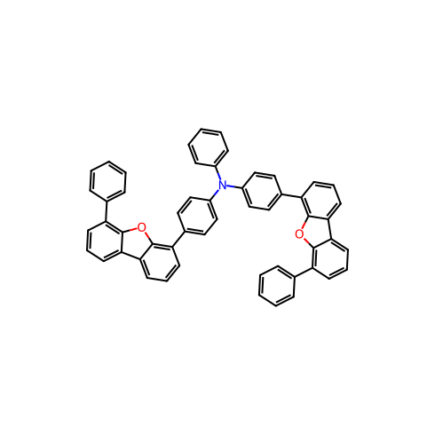 c1ccc(-c2cccc3c2oc2c(-c4ccc(N(c5ccccc5)c5ccc(-c6cccc7c6oc6c(-c8ccccc8)cccc67)cc5)cc4)cccc23)cc1